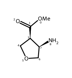 COC(=O)[C@@H]1COC[C@@H]1N